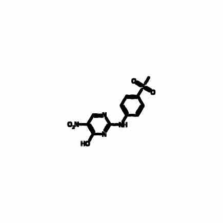 CS(=O)(=O)c1ccc(Nc2ncc([N+](=O)[O-])c(O)n2)cc1